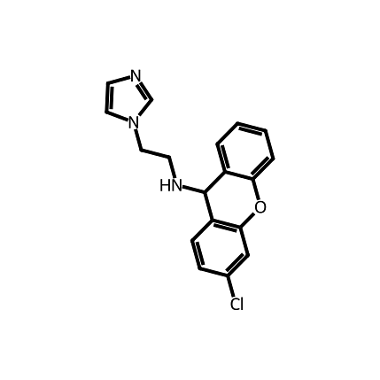 Clc1ccc2c(c1)Oc1ccccc1C2NCCn1ccnc1